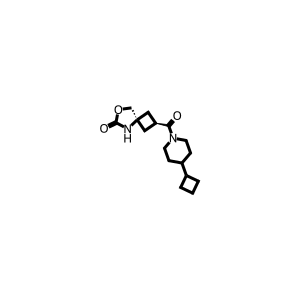 O=C1N[C@]2(CO1)C[C@H](C(=O)N1CCC(C3CCC3)CC1)C2